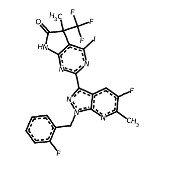 Cc1nc2c(cc1F)c(-c1nc(I)c3c(n1)NC(=O)C3(C)C(F)(F)F)nn2Cc1ccccc1F